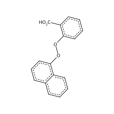 O=C(O)c1ccccc1OOc1cccc2ccccc12